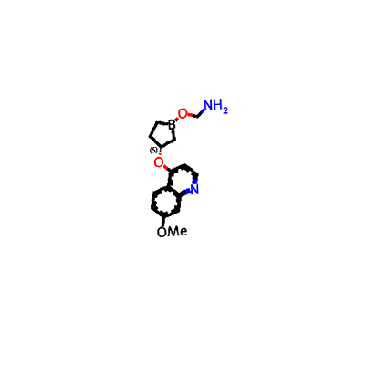 COc1ccc2c(O[C@@H]3CCB(OCN)C3)ccnc2c1